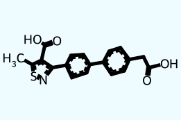 Cc1snc(-c2ccc(-c3ccc(CC(=O)O)cc3)cc2)c1C(=O)O